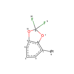 CC(C)c1cccc2c1OC(F)(F)O2